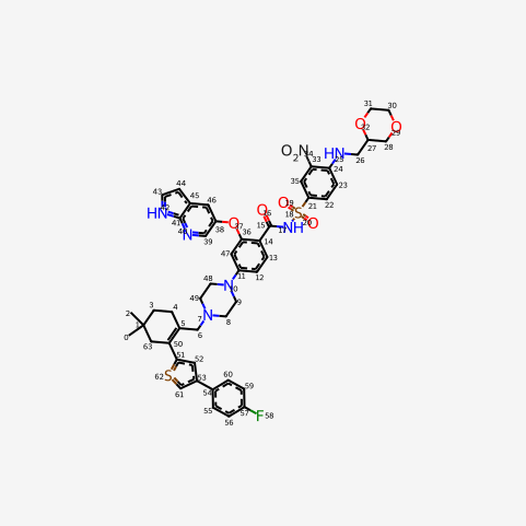 CC1(C)CCC(CN2CCN(c3ccc(C(=O)NS(=O)(=O)c4ccc(NCC5COCCO5)c([N+](=O)[O-])c4)c(Oc4cnc5[nH]ccc5c4)c3)CC2)=C(c2cc(-c3ccc(F)cc3)cs2)C1